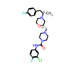 C[C@@H](Cc1ccc(F)cc1)N1CCO[C@@H](CN2CCN(C(=O)Nc3ccc(F)c(Cl)c3)CC2)C1